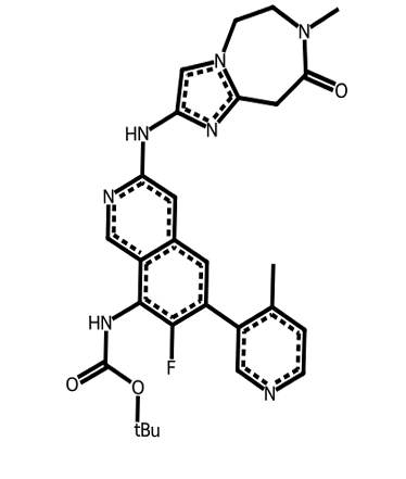 Cc1ccncc1-c1cc2cc(Nc3cn4c(n3)CC(=O)N(C)CC4)ncc2c(NC(=O)OC(C)(C)C)c1F